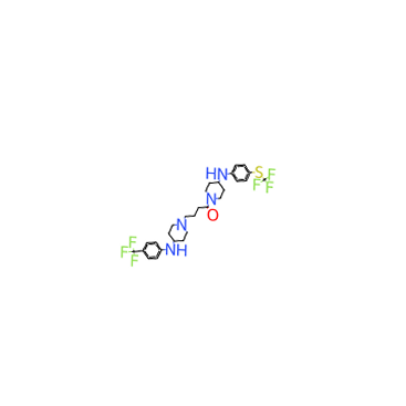 O=C(CCCN1CCC(Nc2ccc(C(F)(F)F)cc2)CC1)N1CCC(Nc2ccc(SC(F)(F)F)cc2)CC1